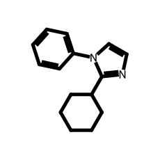 c1ccc(-n2ccnc2C2CCCCC2)cc1